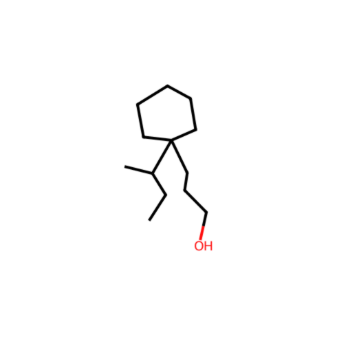 CCC(C)C1(CCCO)CCCCC1